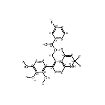 COc1ccc(-c2ccc3c(c2COC(=O)c2cccc(F)c2)C(C)=CC(C)(C)N3)c(OC)c1OC